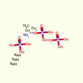 C.C.C.N.O=P(O)(O)O.O=P(O)(O)O.O=P(O)(O)O.[NaH].[NaH].[NaH]